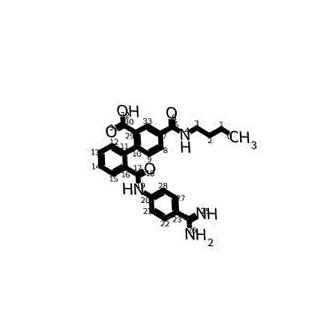 CCCCNC(=O)c1ccc(-c2ccccc2C(=O)Nc2ccc(C(=N)N)cc2)c(C(=O)O)c1